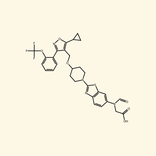 O=CN(CC(=O)O)c1ccc2nc(N3CCC(OCc4c(-c5ccccc5OC(F)(F)F)noc4C4CC4)CC3)sc2c1